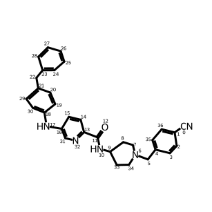 N#Cc1ccc(CN2CCC(NC(=O)c3ccc(Nc4ccc(Cc5ccccc5)cc4)cn3)CC2)cc1